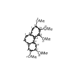 COc1cc2ccc3cc(OC)c(OC)c(OC)c3c2cc1OC